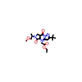 CCOC(=O)Cn1c2c(c(=O)n3nc(C(C)(C)C)cc13)CN(C(C)COC)C2=O